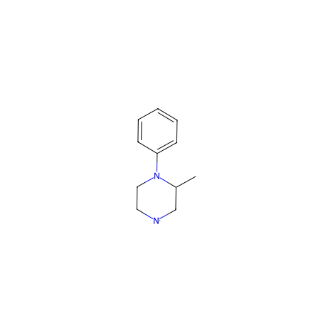 CC1C[N]CCN1c1ccccc1